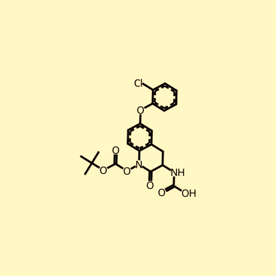 CC(C)(C)OC(=O)ON1C(=O)C(NC(=O)O)Cc2cc(Oc3ccccc3Cl)ccc21